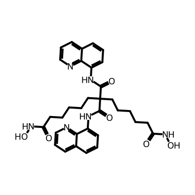 O=C(CCCCCC(CCCCCC(=O)NO)(C(=O)Nc1cccc2cccnc12)C(=O)Nc1cccc2cccnc12)NO